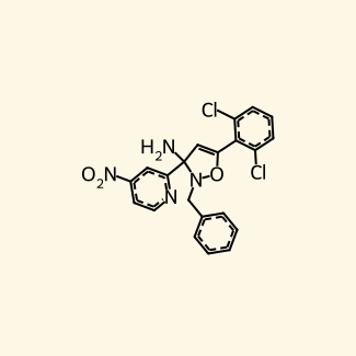 NC1(c2cc([N+](=O)[O-])ccn2)C=C(c2c(Cl)cccc2Cl)ON1Cc1ccccc1